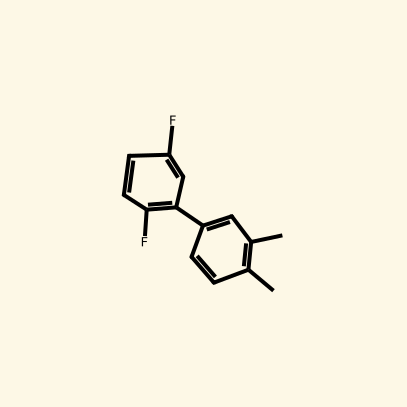 Cc1ccc(-c2cc(F)ccc2F)cc1C